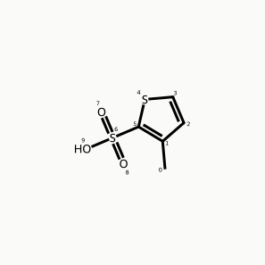 Cc1ccsc1S(=O)(=O)O